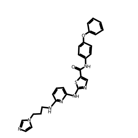 O=C(Nc1ccc(Oc2ccccc2)cc1)c1cnc(Nc2cccc(NCCCn3ccnc3)n2)s1